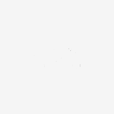 NC1(C(=O)O)CC2CC[C]1C2